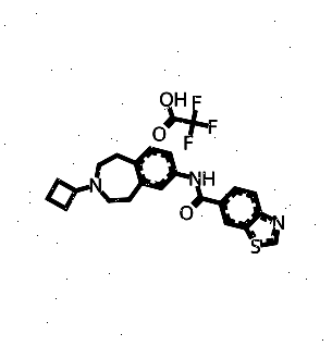 O=C(Nc1ccc2c(c1)CCN(C1CCC1)CC2)c1ccc2ncsc2c1.O=C(O)C(F)(F)F